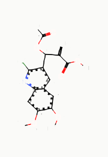 C=C(C(=O)OC)C(OC(C)=O)c1cc2cc(OC)c(OC)cc2nc1Cl